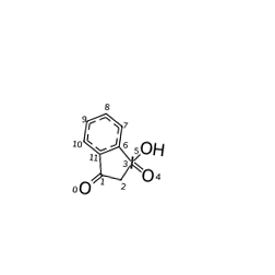 O=C1CI(=O)(O)c2ccccc21